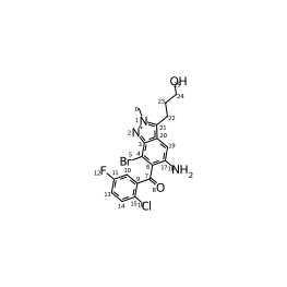 Cn1nc2c(Br)c(C(=O)c3cc(F)ccc3Cl)c(N)cc2c1CCCO